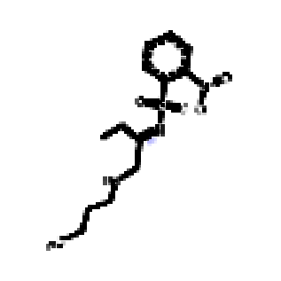 CC/C(CNCCCO)=N\S(=O)(=O)c1ccccc1[N+](=O)[O-]